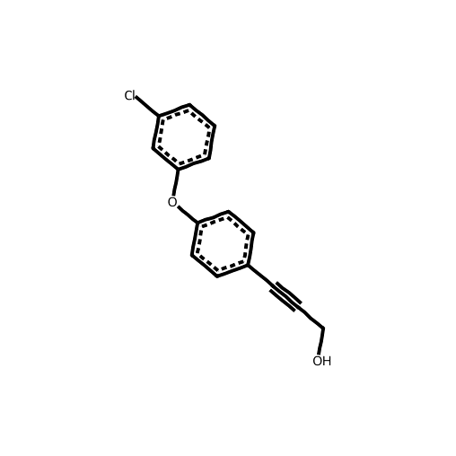 OCC#Cc1ccc(Oc2cccc(Cl)c2)cc1